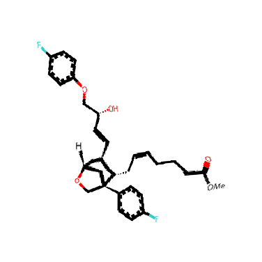 COC(=O)CCC/C=C\C[C@H]1[C@H](/C=C/[C@@H](O)COc2ccc(F)cc2)[C@@H]2C[C@@]1(c1ccc(F)cc1)CO2